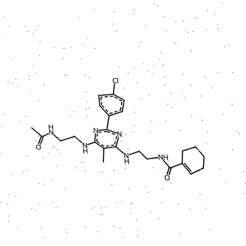 CC(=O)NCCNc1nc(-c2ccc(Cl)cc2)nc(NCCNC(=O)C2=CCCCC2)c1C